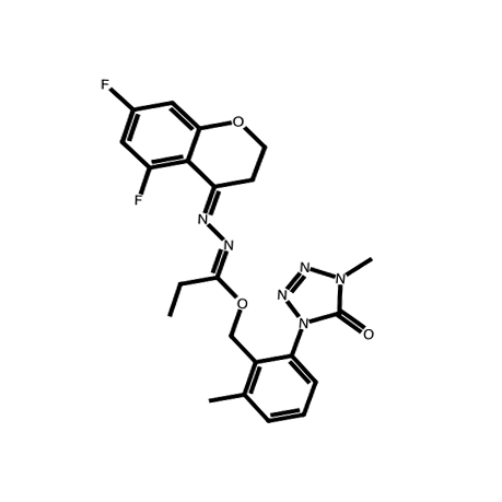 CC/C(=N\N=C1/CCOc2cc(F)cc(F)c21)OCc1c(C)cccc1-n1nnn(C)c1=O